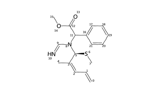 C=C/C=C(/C)[C@H](SC)N(C=N)C(C(=O)OC)c1ccccc1